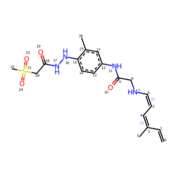 C=C/C(C)=C\C=C/NCC(=O)Nc1ccc(NNC(=O)CS(C)(=O)=O)c(C)c1